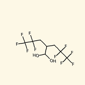 OC(O)C(CC(F)(F)C(F)(F)F)CC(F)(F)C(F)(F)F